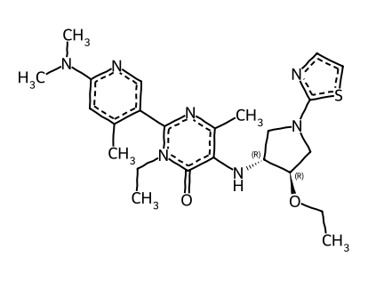 CCO[C@@H]1CN(c2nccs2)C[C@H]1Nc1c(C)nc(-c2cnc(N(C)C)cc2C)n(CC)c1=O